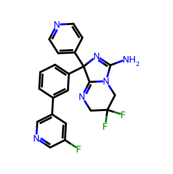 NC1=NC(c2ccncc2)(c2cccc(-c3cncc(F)c3)c2)C2=NCC(F)(F)CN12